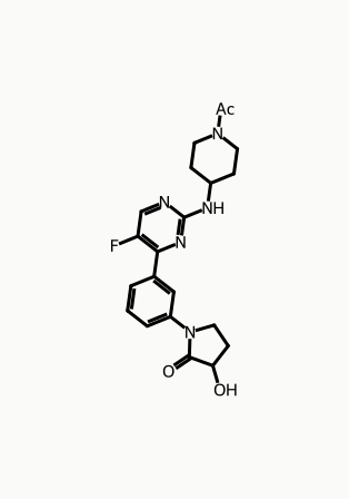 CC(=O)N1CCC(Nc2ncc(F)c(-c3cccc(N4CCC(O)C4=O)c3)n2)CC1